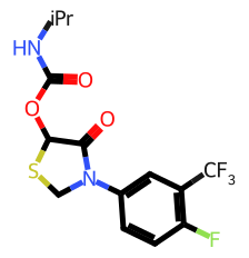 CC(C)NC(=O)OC1SCN(c2ccc(F)c(C(F)(F)F)c2)C1=O